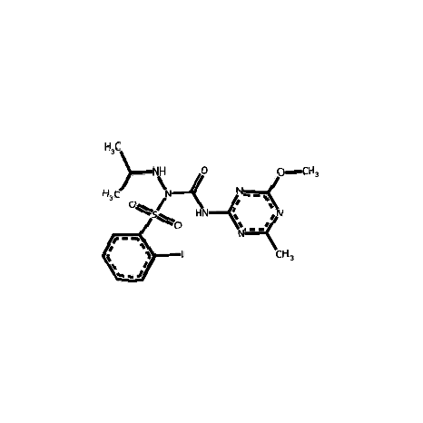 COc1nc(C)nc(NC(=O)N(NC(C)C)S(=O)(=O)c2ccccc2I)n1